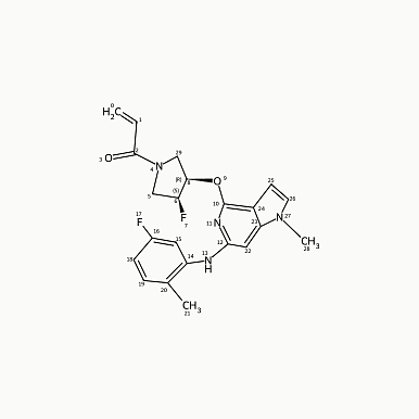 C=CC(=O)N1C[C@H](F)[C@H](Oc2nc(Nc3cc(F)ccc3C)cc3c2ccn3C)C1